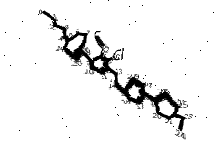 CCCCCC1CCC(c2ccc(CCc3ccc(C4CCC(CC)CC4)cc3)c(Cl)c2F)CC1